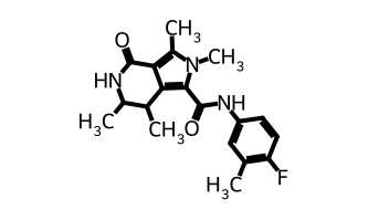 Cc1cc(NC(=O)c2c3c(c(C)n2C)C(=O)NC(C)C3C)ccc1F